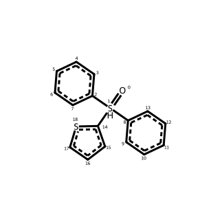 O=[SH](c1ccccc1)(c1ccccc1)c1cccs1